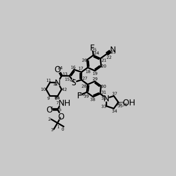 CC(C)(C)OC(=O)N[C@@H]1CCCN(C(=O)c2cc(-c3ccc(C#N)c(F)c3)c(-c3ccc(N4CC[C@@H](O)C4)cc3F)s2)C1